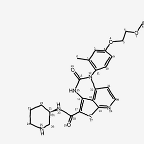 Cc1cc(OCCOC(C)C)ccc1N1C(=O)Nc2c(C(=O)N[C@@H]3CCCNC3)sc3nccc1c23